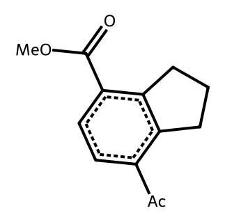 COC(=O)c1ccc(C(C)=O)c2c1CCC2